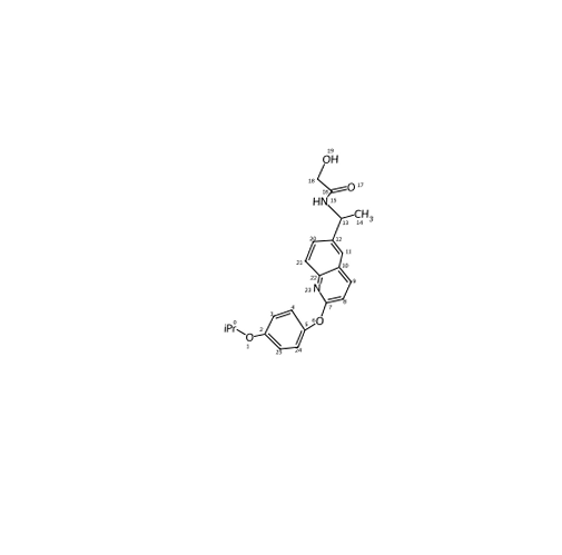 CC(C)Oc1ccc(Oc2ccc3cc(C(C)NC(=O)CO)ccc3n2)cc1